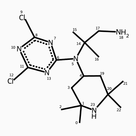 CC1(C)CC(N(c2nc(Cl)nc(Cl)n2)C(C)(C)CN)CC(C)(C)N1